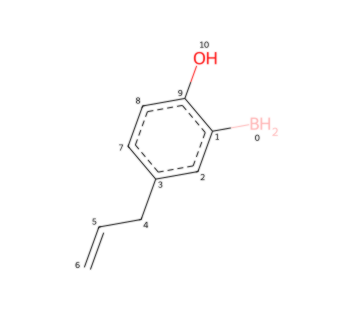 Bc1cc(CC=C)ccc1O